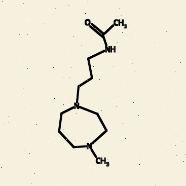 CC(=O)NCCCN1CCCN(C)CC1